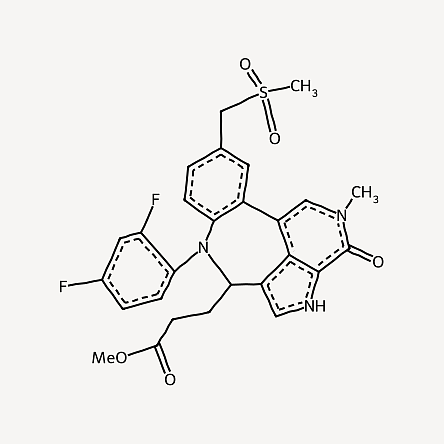 COC(=O)CCC1c2c[nH]c3c(=O)n(C)cc(c23)-c2cc(CS(C)(=O)=O)ccc2N1c1ccc(F)cc1F